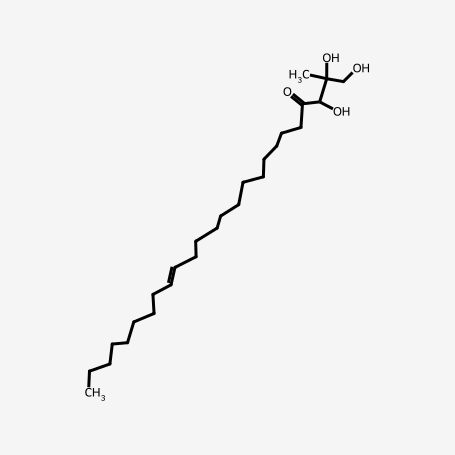 CCCCCCCCC=CCCCCCCCCCCCC(=O)C(O)C(C)(O)CO